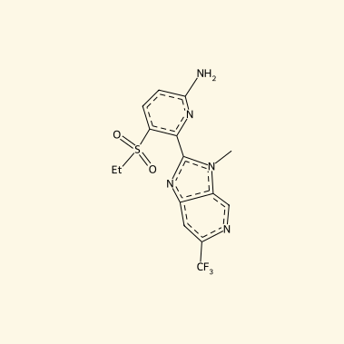 CCS(=O)(=O)c1ccc(N)nc1-c1nc2cc(C(F)(F)F)ncc2n1C